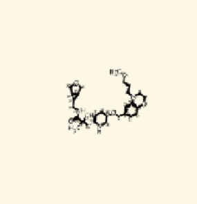 COCCCN1CCOc2ccc(CO[C@@H]3CC[C@@H](CC(C)(C)C(=O)NCC4C5COCC45)NC3)cc21